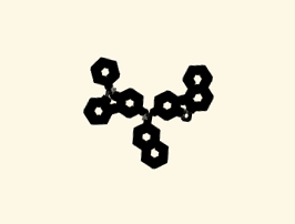 c1ccc(-n2c3ccccc3c3cc(N(c4ccc5ccccc5c4)c4ccc5c(c4)oc4ccc6ccccc6c45)ccc32)cc1